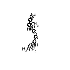 Cc1c(C(=O)NC2CCN(Cc3ccc(N4CCC(NC(=O)OC(C)(C)C)CC4)nc3)CC2)cccc1-c1ccc(OC(F)(F)F)cc1